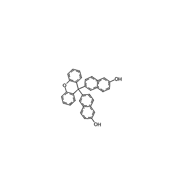 Oc1ccc2cc(C3(c4ccc5cc(O)ccc5c4)c4ccccc4Oc4ccccc43)ccc2c1